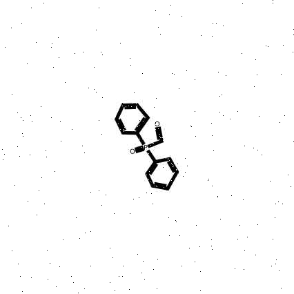 O=CP(=O)(c1ccccc1)c1ccccc1